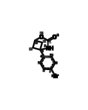 O=C1NC2(c3ccc(Br)cc3)CC(C2)O1